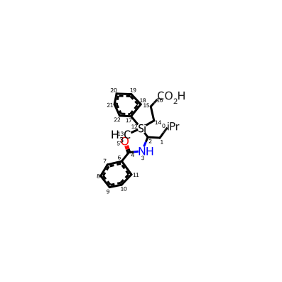 CC(C)CC(NC(=O)c1ccccc1)[Si](C)(CCC(=O)O)c1ccccc1